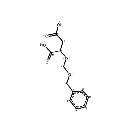 O=C(O)CC(NCOCc1ccccc1)C(=O)O